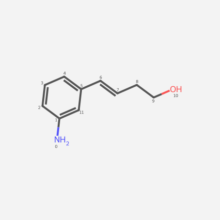 Nc1cccc(/C=C/CCO)c1